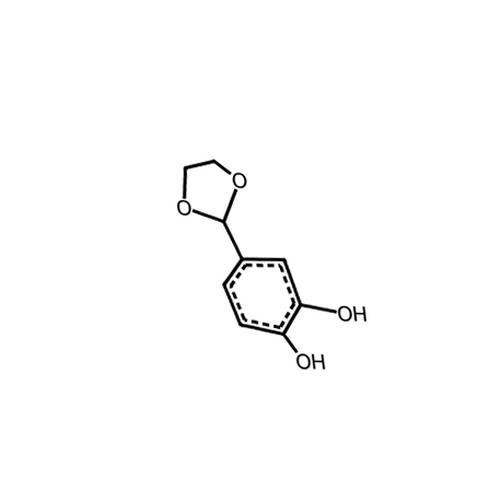 Oc1ccc(C2OCCO2)cc1O